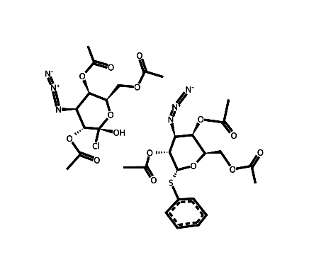 CC(=O)OC[C@H]1O[C@H](Sc2ccccc2)[C@H](OC(C)=O)[C@@H](N=[N+]=[N-])[C@H]1OC(C)=O.CC(=O)OC[C@H]1O[C@](O)(Cl)[C@H](OC(C)=O)[C@@H](N=[N+]=[N-])[C@H]1OC(C)=O